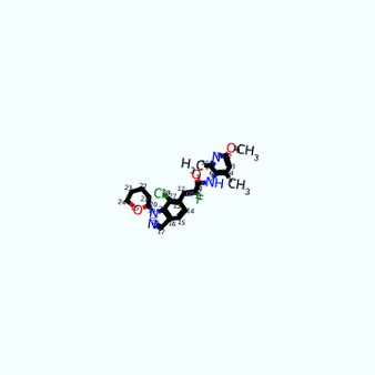 COc1cc(C)c(NC(=O)/C(F)=C/c2ccc3cnn(C4CCCCO4)c3c2Cl)c(C)n1